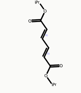 CC(C)OC(=O)/C=C/C=C/C(=O)OC(C)C